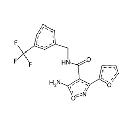 Nc1onc(-c2ccco2)c1C(=O)NCc1cccc(C(F)(F)F)c1